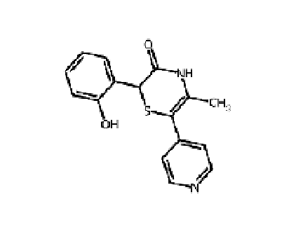 CC1=C(c2ccncc2)SC(c2ccccc2O)C(=O)N1